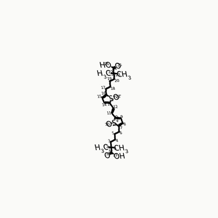 CC(C)(CCCCc1ccc(C=Cc2ccc(CCCCC(C)(C)C(=O)O)[s+]2[O-])[s+]1[O-])C(=O)O